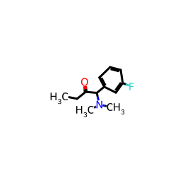 CCC(=O)C(c1cccc(F)c1)N(C)C